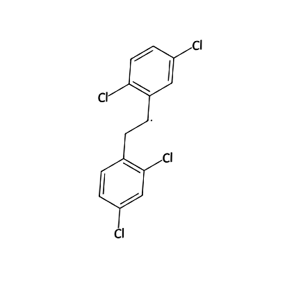 Clc1ccc(C[CH]c2cc(Cl)ccc2Cl)c(Cl)c1